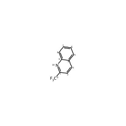 FC(F)(F)c1ccc2c[c]ccc2n1